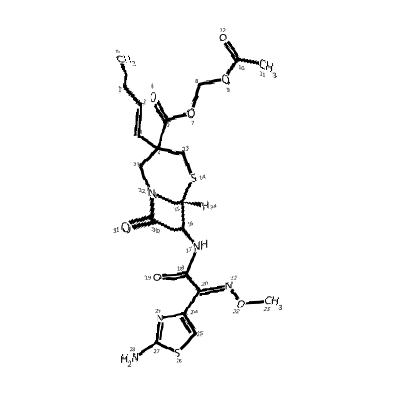 CCC=CC1(C(=O)OCOC(C)=O)CS[C@@H]2C(NC(=O)C(=NOC)c3csc(N)n3)C(=O)N2C1